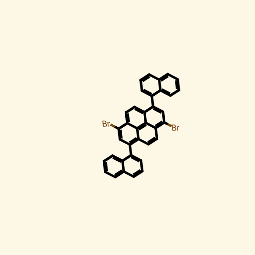 Brc1cc(-c2cccc3ccccc23)c2ccc3c(Br)cc(-c4cccc5ccccc45)c4ccc1c2c34